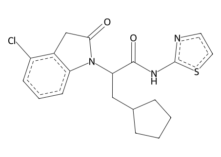 O=C(Nc1nccs1)C(CC1CCCC1)N1C(=O)Cc2c(Cl)cccc21